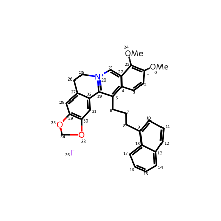 COc1ccc2c(CCCc3cccc4ccccc34)c3[n+](cc2c1OC)CCc1cc2c(cc1-3)OCO2.[I-]